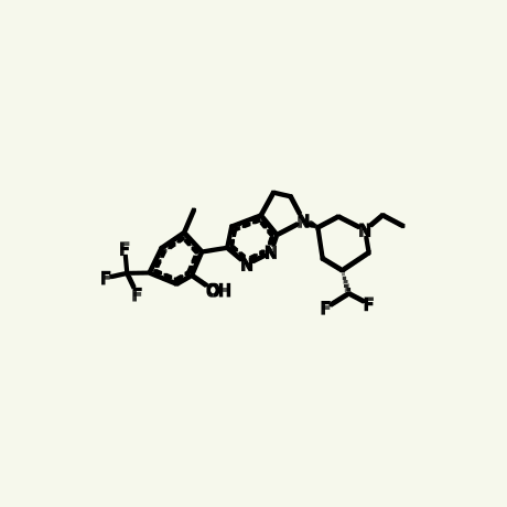 CCN1C[C@H](C(F)F)C[C@@H](N2CCc3cc(-c4c(C)cc(C(F)(F)F)cc4O)nnc32)C1